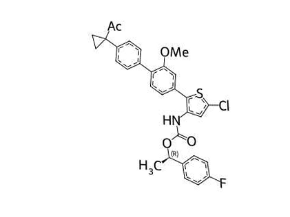 COc1cc(-c2sc(Cl)cc2NC(=O)O[C@H](C)c2ccc(F)cc2)ccc1-c1ccc(C2(C(C)=O)CC2)cc1